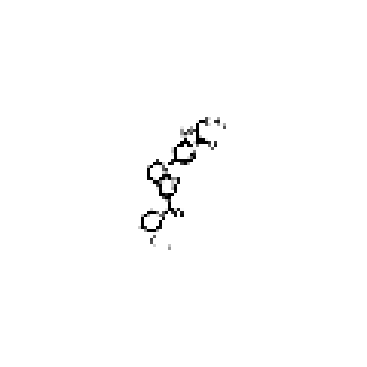 CCn1nc2cc(N3CCCc4cc(C(=O)N5CCC[C@@H](C)C5)cnc43)ccn2c1=O